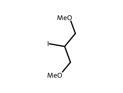 COCC(I)COC